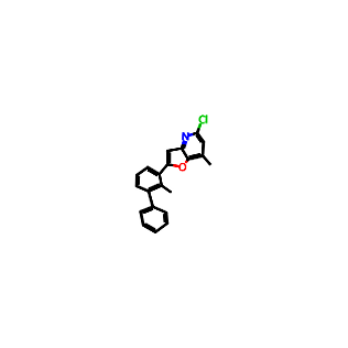 Cc1c(-c2ccccc2)cccc1-c1cc2nc(Cl)cc(C)c2o1